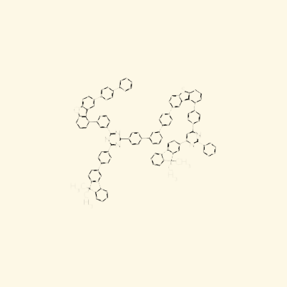 CC1(C)c2ccccc2-c2cc(-c3ccc(-c4nc(-c5ccc(-c6cccc(-c7ccc(-c8ccc9sc%10cccc(-c%11ccc(-c%12cc(-c%13ccc%14c(c%13)C(C)(C)c%13ccccc%13-%14)nc(-c%13ccccc%13)n%12)cc%11)c%10c9c8)cc7)c6)cc5)nc(-c5cccc(-c6cccc7oc8ccc(-c9ccc(-c%10ccccc%10)cc9)cc8c67)c5)n4)cc3)ccc21